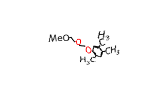 COCCOCCOc1cc(C)c(C)cc1C